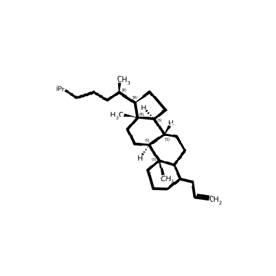 C=CCC1CCC[C@@]2(C)C1CC[C@H]1[C@@H]3CC[C@H]([C@H](C)CCCC(C)C)[C@@]3(C)CC[C@@H]12